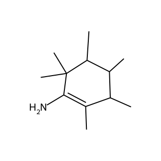 CC1=C(N)C(C)(C)C(C)C(C)C1C